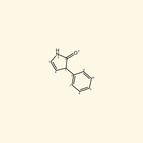 O=C1NC=CC1c1ccccc1